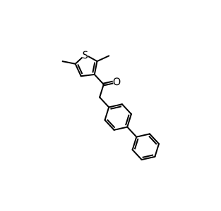 Cc1cc(C(=O)Cc2ccc(-c3ccccc3)cc2)c(C)s1